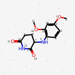 COc1ccc(NC2CCC(=O)NC2=O)c(OC)c1